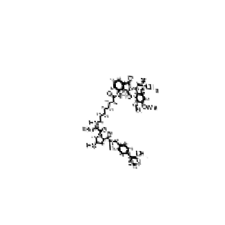 CCOc1cc(C(CS(C)(=O)=O)N2C(=O)c3cccc(NC(=O)CCCCCCCN[C@H](C(=O)N4CC(O)CC4C(=O)NCc4ccc(-c5scnc5C)cc4)C(C)(C)C)c3C2=O)ccc1OC